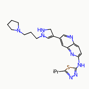 CC(C)c1nnc(Nc2ccc3ncc(C4=CN(CCCN5CCCC5)NC4)cc3n2)s1